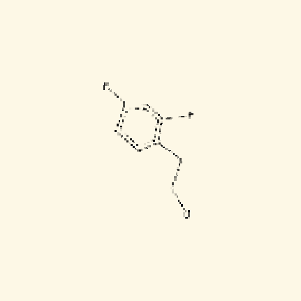 [O]CCc1ccc(F)cc1F